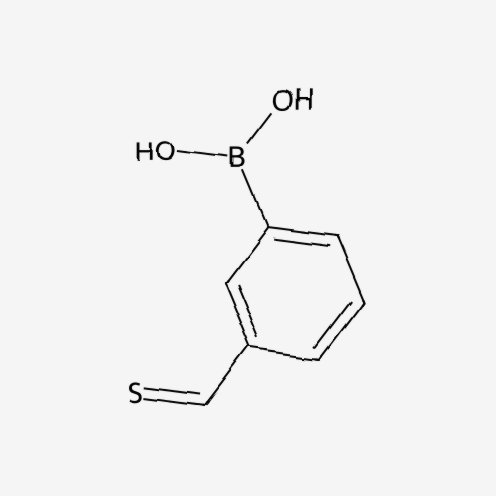 OB(O)c1cccc(C=S)c1